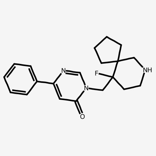 O=c1cc(-c2ccccc2)ncn1CC1(F)CCNCC12CCCC2